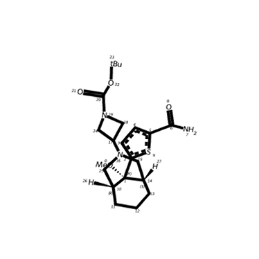 CO[C@@]1(c2ccc(C(N)=O)s2)[C@@H]2CCC[C@H]1CN(C1CN(C(=O)OC(C)(C)C)C1)C2